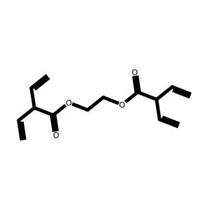 C=CC(C=C)C(=O)OCCOC(=O)C(C=C)C=C